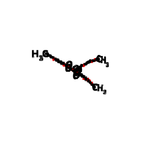 CCCCCCCCC=CCCCCCCCC(=O)OCCCCC(COC(=O)CCCCCCCC=CCCCCCCCC)OC(=O)CCCCCCCC=CCCCCCCCC